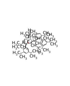 CC(C)C1=Cc2c(ccc(C(C)(C)C)c2-c2cc(C(C)C)cc(C(C)C)c2)[CH]1[Zr]([Cl])([Cl])([CH]1C(C(C)C)=Cc2c1ccc(C(C)(C)C)c2-c1cc(C(C)C)cc(C(C)C)c1)[SiH](C)C